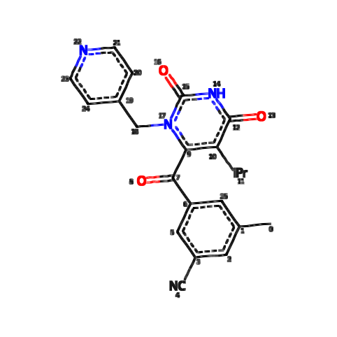 Cc1cc(C#N)cc(C(=O)c2c(C(C)C)c(=O)[nH]c(=O)n2Cc2ccncc2)c1